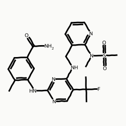 Cc1ccc(C(N)=O)cc1Nc1ncc(C(C)(C)F)c(NCc2cccnc2N(C)S(C)(=O)=O)n1